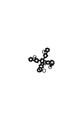 O=C1c2cc3c(cc2C2CCC1CC2)c1c(-c2ccc4c(c2)oc2ccccc24)cc(-c2ccc4c(c2)oc2ccccc24)c2c4cc5c(cc4n3c12)C(=O)C1CCC5CC1